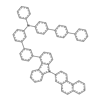 c1ccc(-c2ccc(-c3ccc(N(c4ccccc4)c4cccc(-c5cccc(-c6cccc7c6c6ccccc6n7-c6ccc7c(ccc8ccccc87)c6)c5)c4)cc3)cc2)cc1